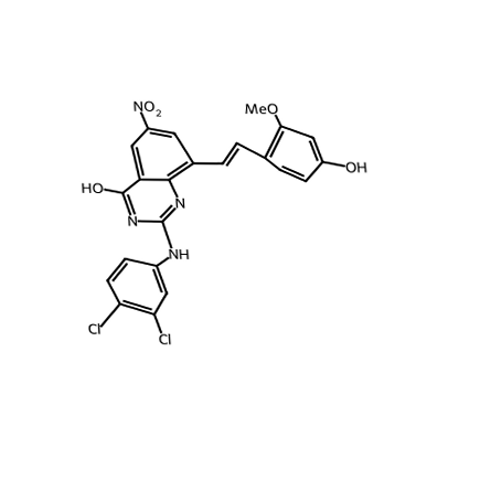 COc1cc(O)ccc1C=Cc1cc([N+](=O)[O-])cc2c(O)nc(Nc3ccc(Cl)c(Cl)c3)nc12